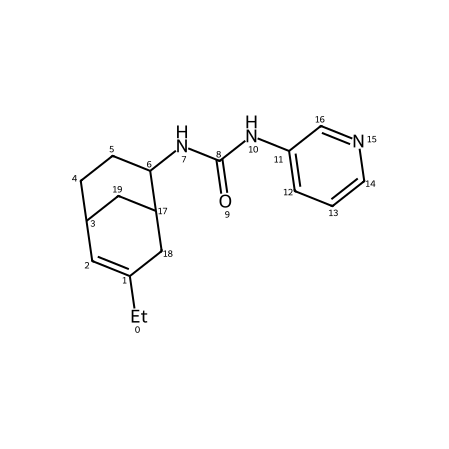 CCC1=CC2CCC(NC(=O)Nc3cccnc3)C(C1)C2